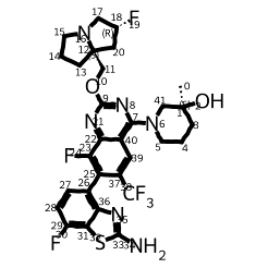 C[C@]1(O)CCCN(c2nc(OC[C@@]34CCCN3C[C@H](F)C4)nc3c(F)c(-c4ccc(F)c5sc(N)nc45)c(C(F)(F)F)cc23)C1